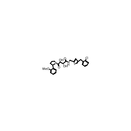 COc1ccccc1C1CCCN1C(=O)[C@H](O)[C@@H](O)C(=O)NCc1cc(Cc2ccccc2Cl)cs1